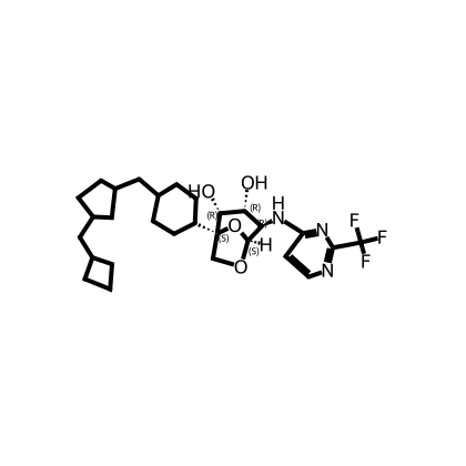 O[C@@H]1[C@@H](Nc2ccnc(C(F)(F)F)n2)[C@H]2OC[C@](C3CCC(CC4CCC(CC5CCC5)C4)CC3)(O2)[C@@H]1O